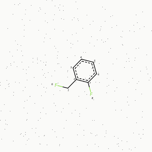 FCc1cc[c]cc1F